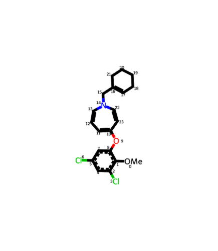 COc1c(Cl)cc(Cl)cc1OC1=CC=CN(CC2=CCCCC2)C=C1